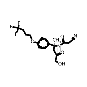 C[C@@](CC(=O)CO)(NC(=O)CC#N)c1ccc(OCCCC(F)(F)F)cc1